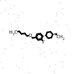 C=C[C@H]1CC[C@H](c2ccc(COCCCCC)cc2F)CC1